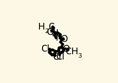 C=CC(=O)N1CCN(C(=O)CCc2cc(-c3cc(Cl)ccc3Cl)c(Cl)cc2OC)CC1